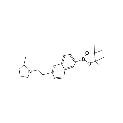 CC1CCCN1CCc1ccc2cc(B3OC(C)(C)C(C)(C)O3)ccc2c1